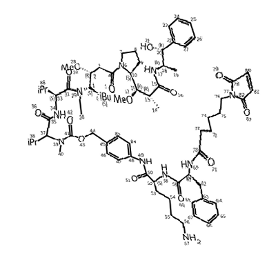 CC[C@H](C)[C@@H]([C@@H](CC(=O)N1CCC[C@H]1[C@H](OC)[C@@H](C)C(=O)N[C@H](C)[C@H](O)c1ccccc1)OC)N(C)C(=O)[C@@H](NC(=O)C(C(C)C)N(C)C(=O)OCc1ccc(NC(=O)[C@H](CCCCN)NC(=O)[C@H](Cc2ccccc2)NC(=O)CCCCCN2C(=O)C=CC2=O)cc1)C(C)C